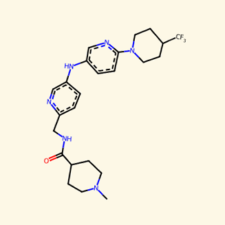 CN1CCC(C(=O)NCc2ccc(Nc3ccc(N4CCC(C(F)(F)F)CC4)nc3)cn2)CC1